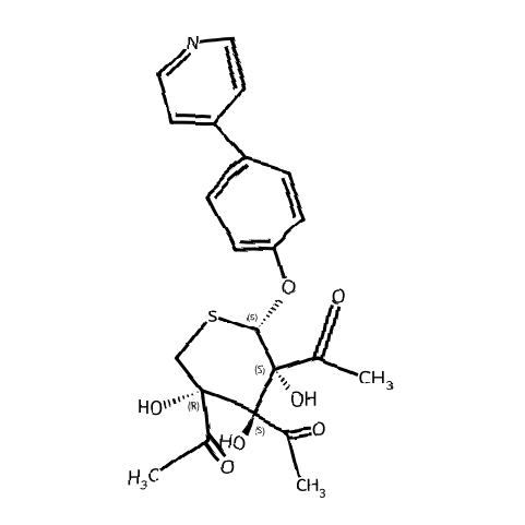 CC(=O)[C@]1(O)[C@@](O)(C(C)=O)CS[C@H](Oc2ccc(-c3ccncc3)cc2)[C@@]1(O)C(C)=O